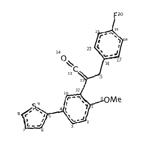 COc1ccc(-c2cccs2)cc1C(=C=O)Cc1ccc(F)cc1